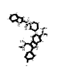 CN[C@H](O)c1c(-c2ccc(F)cc2)oc2cc(N(C)SC)c([C@H]3CCCN(S(=O)(=O)c4cc5ccccc5o4)C3)cc12